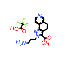 NCCCn1nc2c(c1C(=O)O)CCc1cnccc1-2.O=C(O)C(F)(F)F